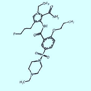 CCCOc1ccc(S(=O)(=O)N2CCN(CC)CC2)cc1C(=O)Nc1c(CCCF)cn(CC)c1C(N)=O